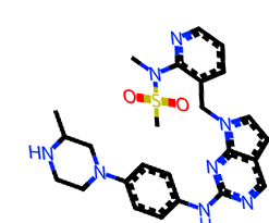 CC1CN(c2ccc(Nc3ncc4ccn(Cc5cccnc5N(C)S(C)(=O)=O)c4n3)cc2)CCN1